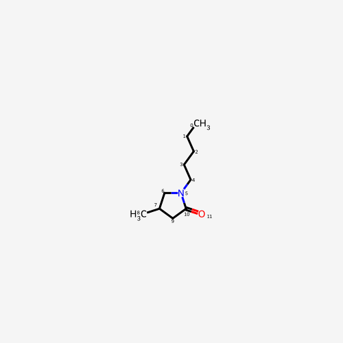 CCCCCN1CC(C)CC1=O